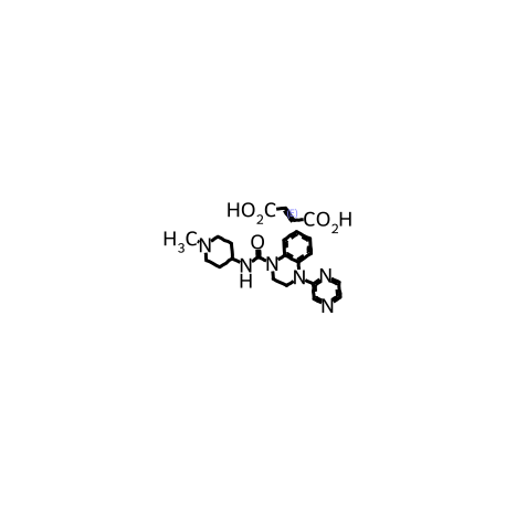 CN1CCC(NC(=O)N2CCN(c3cnccn3)c3ccccc32)CC1.O=C(O)/C=C/C(=O)O